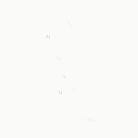 COc1ccc2nc(N3CCN([C@@H]4CN[C@H](C(=O)N5CCSC5)C4)CC3)oc2c1